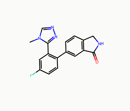 Cn1cnnc1-c1cc(F)ccc1-c1ccc2c(c1)C(=O)NC2